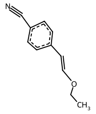 CCO/C=C/c1ccc(C#N)cc1